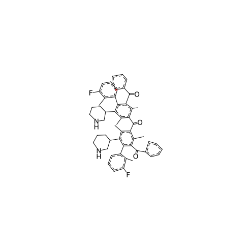 Cc1c(F)cccc1-c1c(C(=O)c2ccccc2)c(C)c(C(=O)c2c(C)c(C(=O)c3ccccc3)c(-c3cccc(F)c3C)c(C3CCCNC3)c2C)c(C)c1C1CCCNC1